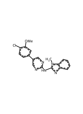 COc1cc(-c2cnc(Nc3nc4ccccc4n3C)nc2)ccc1Cl